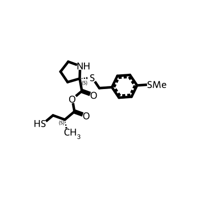 CSc1ccc(CS[C@]2(C(=O)OC(=O)[C@H](C)CS)CCCN2)cc1